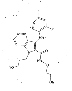 O=C(NOCCO)c1c(Nc2ccc(I)cc2F)c2cnccc2n1CCCO